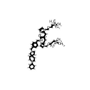 C[Si](C)(C)CCOCn1ccnc1CC(Cc1nccn1COCC[Si](C)(C)C)C(=O)NCc1ccc(CN2CCC3(CCN(C4CCCCC4)CC3)C2)cc1